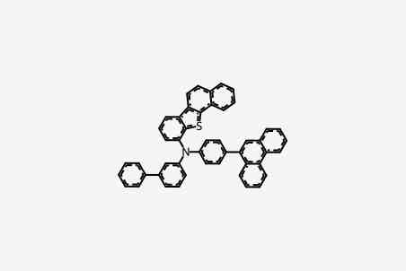 c1ccc(-c2cccc(N(c3ccc(-c4cc5ccccc5c5ccccc45)cc3)c3cccc4c3sc3c5ccccc5ccc43)c2)cc1